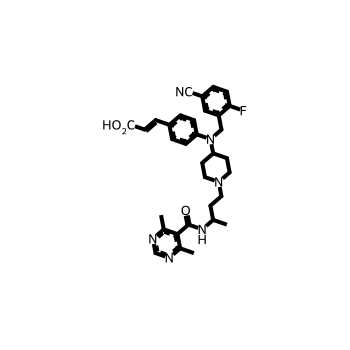 Cc1ncnc(C)c1C(=O)NC(C)CCN1CCC(N(Cc2cc(C#N)ccc2F)c2ccc(/C=C/C(=O)O)cc2)CC1